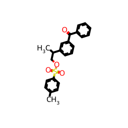 Cc1ccc(S(=O)(=O)OCC(C)c2cccc(C(=O)c3ccccc3)c2)cc1